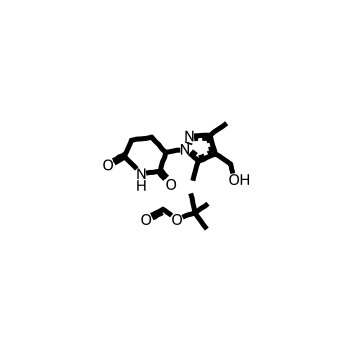 CC(C)(C)OC=O.Cc1nn(C2CCC(=O)NC2=O)c(C)c1CO